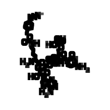 [N-]=[N+]=Nc1ccc(COC(=O)NCCCC[C@H](N)C(=O)O[C@@H]2C(COP(=O)(O)O[C@H]3CC(n4ccc(N)nc4=O)O[C@@H]3COP(=O)(O)O)O[C@@H](n3cnc4c(N)ncnc43)[C@@H]2O)cc1